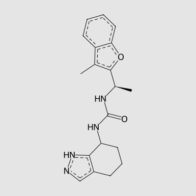 Cc1c([C@@H](C)NC(=O)NC2CCCc3cn[nH]c32)oc2ccccc12